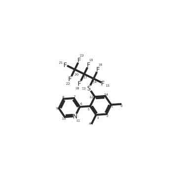 Cc1[c]c(C)c(-c2ccccn2)c(SC(F)(F)C(F)(F)C(F)(F)F)c1